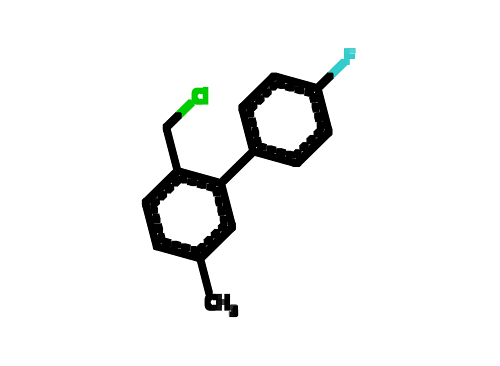 Cc1ccc(CCl)c(-c2ccc(F)cc2)c1